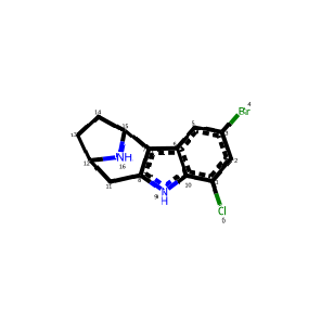 Clc1cc(Br)cc2c3c([nH]c12)CC1CCC3N1